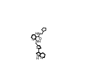 O=C(NCC1CCCC1)c1cccnc1NCc1ccc(-c2c[nH]c3ncccc23)s1